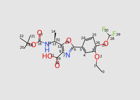 CCOc1cc(-c2nc(C(=O)O)c([C@H](C)NC(=O)OC(C)(C)C)o2)ccc1OC(F)F